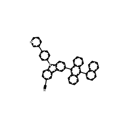 N#Cc1ccc2c(c1)c1cc(-c3c4ccccc4c(-c4cccc5ccccc45)c4ccccc34)ccc1n2-c1ccc(-c2cccnc2)cc1